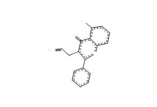 C=CCc1c(-c2ccccc2)oc2cccc(O)c2c1=O